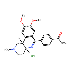 CCOc1cc2c(cc1OCC)[C@H]1CN(C)CC[C@H]1N=C2c1ccc(C(=O)OC)cc1.Cl